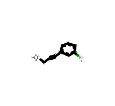 CCC#Cc1cccc(Br)c1